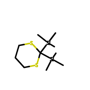 C[Si](C)(C)C1([Si](C)(C)C)SCCCS1